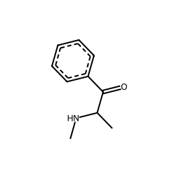 CNC(C)C(=O)c1ccccc1